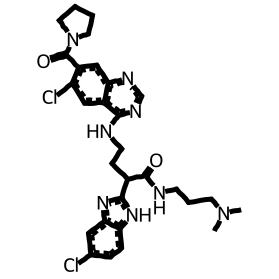 CN(C)CCCNC(=O)C(CCNc1ncnc2cc(C(=O)N3CCCC3)c(Cl)cc12)c1nc2cc(Cl)ccc2[nH]1